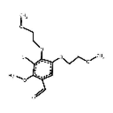 COCCOc1cc(C=O)c(OC)c(Cl)c1OCCOC